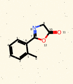 Cc1ccccc1C1=NCC(=O)O1